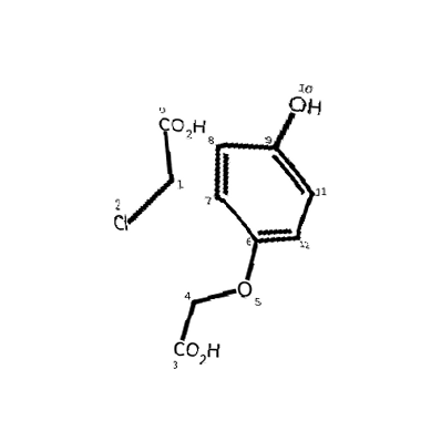 O=C(O)CCl.O=C(O)COc1ccc(O)cc1